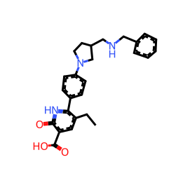 CCc1cc(C(=O)O)c(=O)[nH]c1-c1ccc(N2CCC(CNCc3ccccc3)C2)cc1